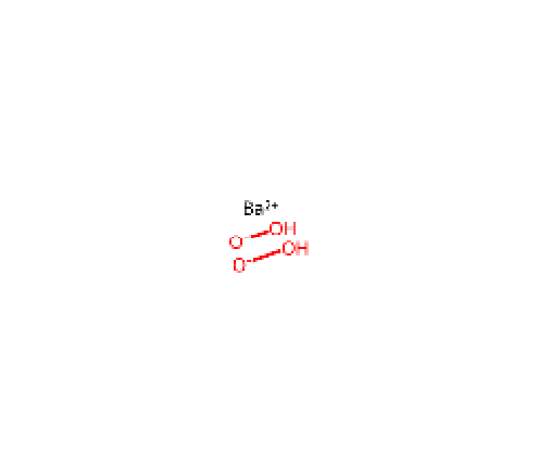 [Ba+2].[O-]O.[O-]O